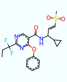 CCC(F)(F)c1ncc(C(=O)NC(C=CS(C)(=O)=O)C2CC2)c(Oc2ccccc2)n1